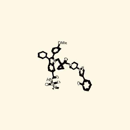 COc1ccc(-c2c(C3CCCCC3)c3ccc(C(=O)NS(=O)(=O)N(C)C)cc3n2CC2(C(=O)N3CCC(n4cc(-c5ccccc5Cl)cn4)CC3)CC2)cc1